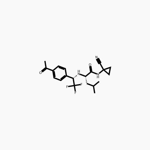 CC(=O)c1ccc([C@H](N[C@@H](CC(C)C)C(=O)NC2(C#N)CC2)C(F)(F)F)cc1